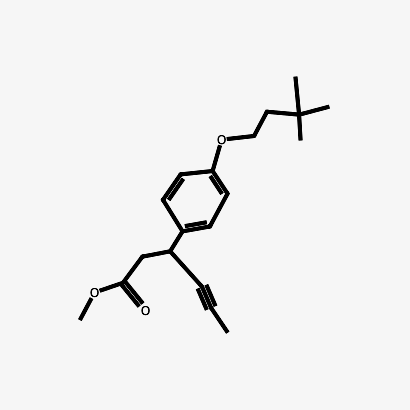 CC#CC(CC(=O)OC)c1ccc(OCCC(C)(C)C)cc1